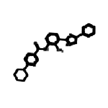 Cc1c(NC(=O)c2ccc(N3CCCCC3)nc2)cccc1-c1nc(-c2ccccc2)c[nH]1